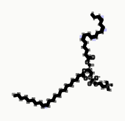 CC/C=C\C/C=C\C/C=C\C/C=C\CCCCC(=O)OC[C@H](COP(=O)([O-])OCC[N+](C)(C)C)OC(=O)CCCCCCCCCCC/C=C\CCCCCCCC